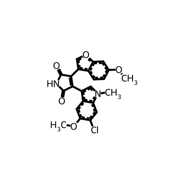 COc1ccc2c(C3=C(c4cn(C)c5cc(Cl)c(OC)cc45)C(=O)NC3=O)coc2c1